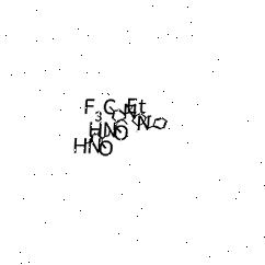 CCN(c1cc(C(F)(F)F)cc(C(=O)NCc2c(C)cc(C)[nH]c2=O)c1C)C1C[C@@H](C)N(Cc2ccccc2)[C@H](C)C1